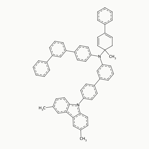 Cc1ccc2c(c1)c1cc(C)ccc1n2-c1ccc(-c2cccc(N(c3ccc(-c4cccc(-c5ccccc5)c4)cc3)C3(C)C=CC(c4ccccc4)=CC3)c2)cc1